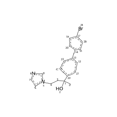 CC(O)(CCn1ccnc1)c1ccc(-c2ccc(Br)cc2)cc1